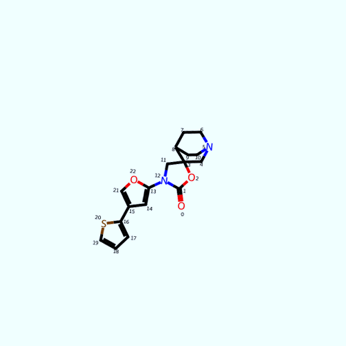 O=C1OC2(CN3CCC2CC3)CN1c1cc(-c2cccs2)co1